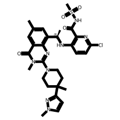 Cc1cc([C@@H](C)Nc2ccc(Cl)nc2C(=O)NS(C)(=O)=O)c2nc(N3CCC(C)(c4ccn(C)n4)CC3)n(C)c(=O)c2c1